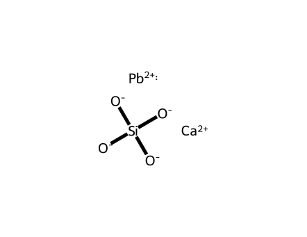 [Ca+2].[O-][Si]([O-])([O-])[O-].[Pb+2]